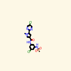 Cn1cc(C(=O)Nc2cc(Cl)cc(NS(C)(=O)=O)c2)cc1-c1ncc(Cl)cn1